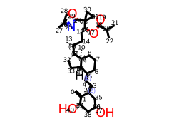 C=C1/C(=C\C=C2/CCC[C@]3(C)[C@@H]([C@H](C)CC[C@@H](OC(=O)C(C)C)C4(c5nc(C)co5)CC4)CC[C@@H]23)C[C@@H](O)C[C@@H]1O